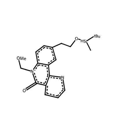 COCn1c(=O)c2cccnc2c2cc(CCO[SiH](C)C(C)(C)C)ccc21